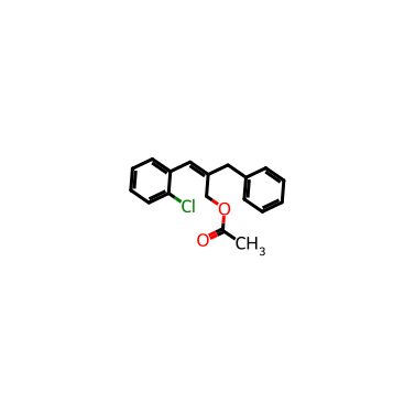 CC(=O)OCC(=Cc1ccccc1Cl)Cc1ccccc1